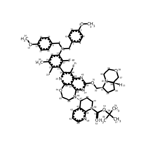 COc1ccc(CN(Cc2ccc(OC)cc2)c2cc(C)c(I)c(-c3nc4c5c(nc(OC[C@@H]6CC[C@H]7COCCN76)nc5c3F)N([C@@H]3CCN(C(=O)OC(C)(C)C)c5ncccc53)CCO4)c2F)cc1